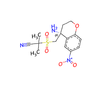 CC(C)(C#N)S(=O)(=O)C[C@@]1(N)CCOc2ccc([N+](=O)[O-])cc21